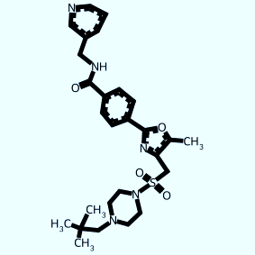 Cc1oc(-c2ccc(C(=O)NCc3cccnc3)cc2)nc1CS(=O)(=O)N1CCN(CC(C)(C)C)CC1